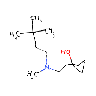 CN(CCC(C)(C)C)CC1(O)CC1